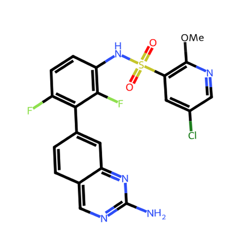 COc1ncc(Cl)cc1S(=O)(=O)Nc1ccc(F)c(-c2ccc3cnc(N)nc3c2)c1F